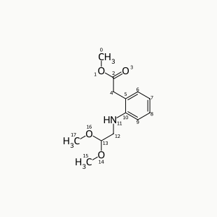 COC(=O)Cc1ccccc1NCC(OC)OC